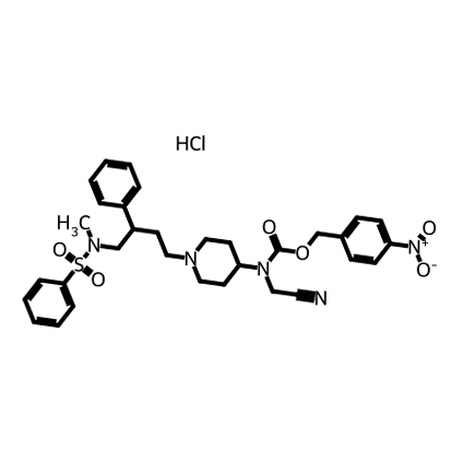 CN(CC(CCN1CCC(N(CC#N)C(=O)OCc2ccc([N+](=O)[O-])cc2)CC1)c1ccccc1)S(=O)(=O)c1ccccc1.Cl